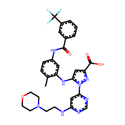 Cc1ccc(NC(=O)c2cccc(C(F)(F)F)c2)cc1Nc1cc(C(=O)O)nn1-c1cc(NCCN2CCOCC2)ncn1